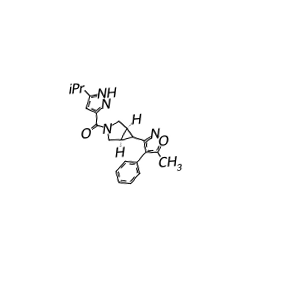 Cc1onc(C2[C@H]3CN(C(=O)c4cc(C(C)C)[nH]n4)C[C@@H]23)c1-c1ccccc1